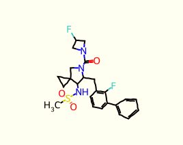 CS(=O)(=O)NC1C(Cc2cccc(-c3ccccc3)c2F)N(C(=O)N2CC(F)C2)CC12CC2